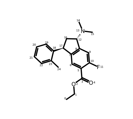 CCOC(=O)c1cc2c(cc1F)[C@@H](N(C)C)C[C@@H]2c1ccccc1C